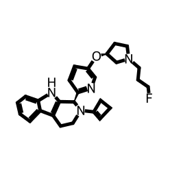 FCCCN1CC[C@H](Oc2ccc([C@@H]3c4[nH]c5ccccc5c4CCN3C3=CCC3)nc2)C1